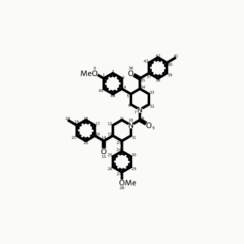 COc1ccc(C2CN(C(=O)N3CCC(C(=O)c4ccc(C)cc4)C(c4ccc(OC)cc4)C3)CCC2C(=O)c2ccc(C)cc2)cc1